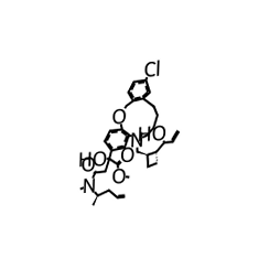 C=CC[C@@H](C)N(C)C(=O)CC(O)(C(=O)OC)c1ccc2c(c1)N(C[C@@H]1CC[C@H]1[C@@H](O)C=C)CCCCc1cc(Cl)ccc1CO2